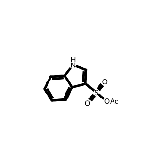 CC(=O)OS(=O)(=O)c1c[nH]c2ccccc12